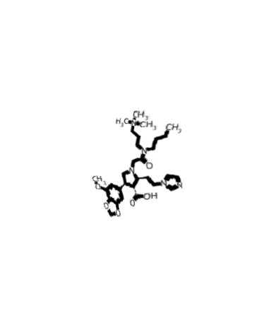 CCCCN(CCC[N+](C)(C)C)C(=O)CN1C[C@H](c2cc(OC)c3c(c2)OCO3)[C@@H](C(=O)O)[C@@H]1CCn1ccnc1